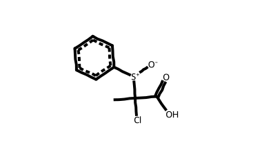 CC(Cl)(C(=O)O)[S+]([O-])c1ccccc1